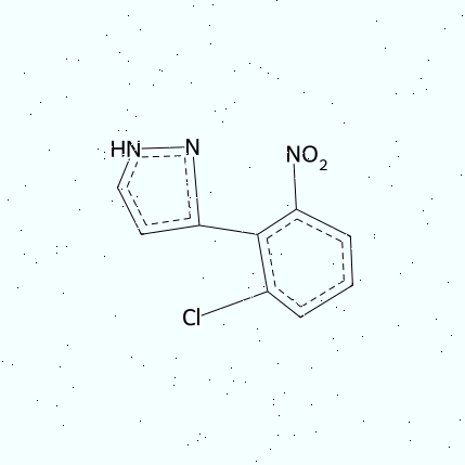 O=[N+]([O-])c1cccc(Cl)c1-c1cc[nH]n1